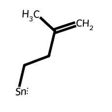 C=C(C)C[CH2][Sn]